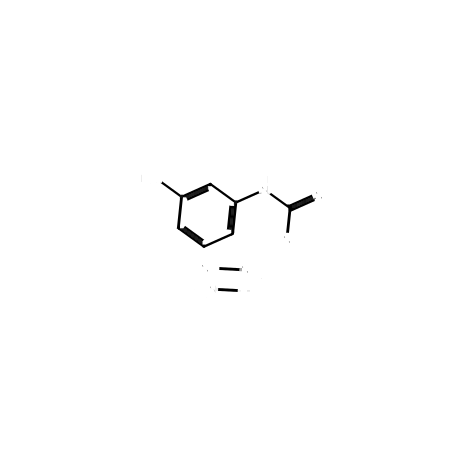 N#CN.N=C(N)Nc1cccc(C(F)(F)F)c1.O=[N+]([O-])O